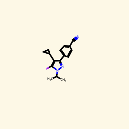 CC(C)n1nc(-c2ccc(C#N)cc2)c(C2CC2)c1I